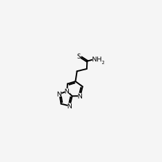 NC(=S)CCc1cnc2ncnn2c1